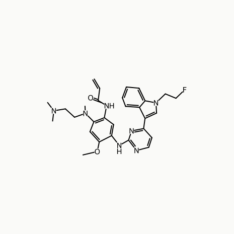 C=CC(=O)Nc1cc(Nc2nccc(-c3cn(CCF)c4ccccc34)n2)c(OC)cc1N(C)CCN(C)C